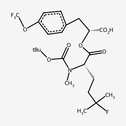 CN(C(=O)OC(C)(C)C)[C@@H](CCC(C)(C)F)C(=O)O[C@H](Cc1ccc(OC(F)(F)F)cc1)C(=O)O